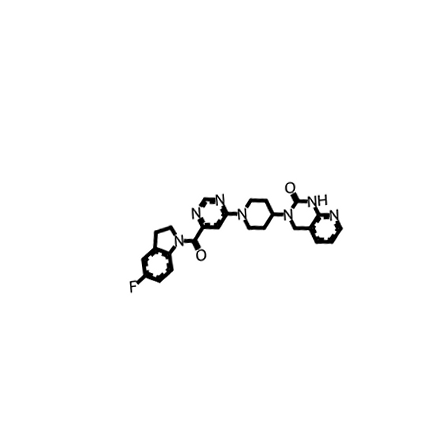 O=C(c1cc(N2CCC(N3Cc4cccnc4NC3=O)CC2)ncn1)N1CCc2cc(F)ccc21